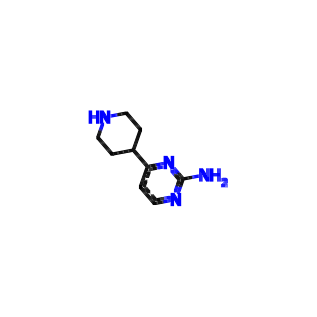 Nc1nccc(C2CCNCC2)n1